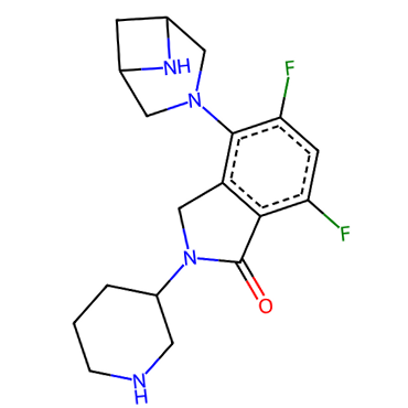 O=C1c2c(F)cc(F)c(N3CC4CC(C3)N4)c2CN1C1CCCNC1